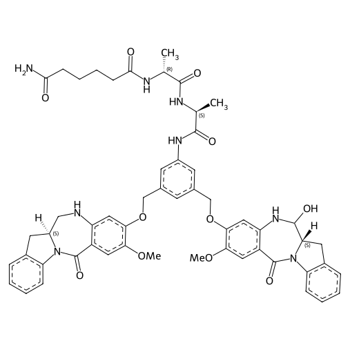 COc1cc2c(cc1OCc1cc(COc3cc4c(cc3OC)C(=O)N3c5ccccc5C[C@H]3C(O)N4)cc(NC(=O)[C@H](C)NC(=O)[C@@H](C)NC(=O)CCCCC(N)=O)c1)NC[C@@H]1Cc3ccccc3N1C2=O